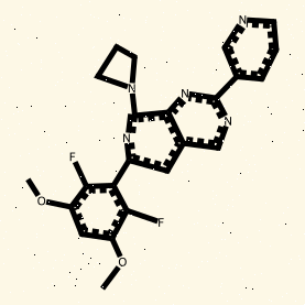 COc1cc(OC)c(F)c(-c2cc3cnc(-c4cccnc4)nc3c(N3CCC3)n2)c1F